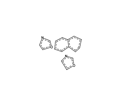 c1ccc2ccccc2c1.c1cocn1.c1cocn1